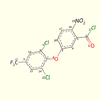 O=C(Cl)c1cc(Oc2c(Cl)cc(C(F)(F)F)cc2Cl)ccc1[N+](=O)[O-]